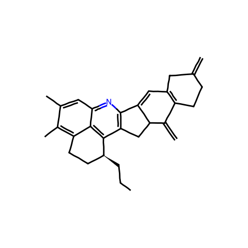 C=C1CCC2=C(C=C3c4nc5cc(C)c(C)c6c5c(c4CC3C2=C)[C@@H](CCC)CC6)C1